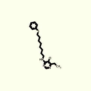 CCc1ncnc(NCCCCCCCCSc2ccccc2)c1Cl